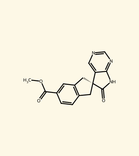 COC(=O)c1ccc2c(c1)C[C@@]1(C2)C(=O)Nc2ncncc21